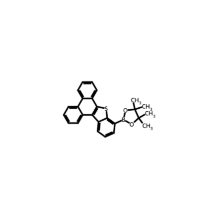 CC1(C)OB(c2cccc3c2sc2c4ccccc4c4ccccc4c32)OC1(C)C